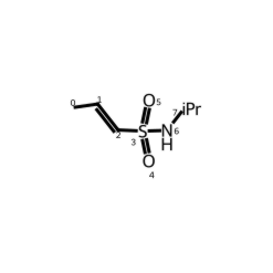 C/C=C/S(=O)(=O)NC(C)C